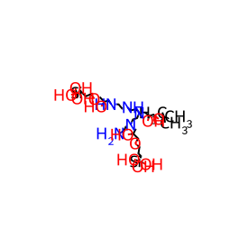 CC(C)(C)OCC(O)CN(CCNCCNCC(O)COCCC[Si](O)(O)O)CCN(CCN)CC(O)COCCC[Si](O)(O)O